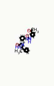 CC(=O)c1cccc(NC(=O)N[C@@H]2CCCC[C@H]2CN2CC(=O)N[C@@H](C(C)c3ccccc3)C2)c1